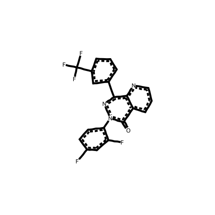 O=c1c2cccnc2c(-c2cccc(C(F)(F)F)c2)nn1-c1ccc(F)cc1F